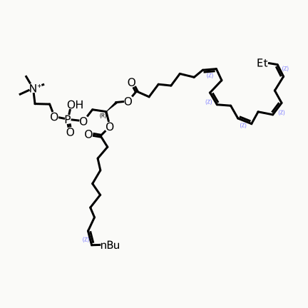 CC/C=C\C/C=C\C/C=C\C/C=C\C/C=C\CCCCCC(=O)OC[C@H](COP(=O)(O)OCC[N+](C)(C)C)OC(=O)CCCCCCC/C=C\CCCC